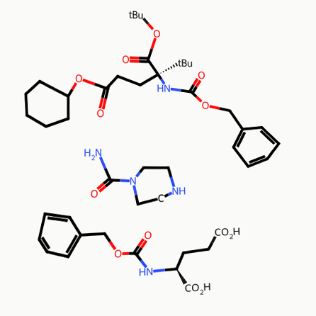 CC(C)(C)OC(=O)[C@](CCC(=O)OC1CCCCC1)(NC(=O)OCc1ccccc1)C(C)(C)C.NC(=O)N1CCNCC1.O=C(O)CC[C@H](NC(=O)OCc1ccccc1)C(=O)O